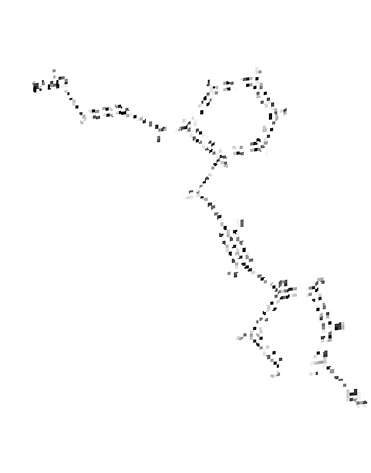 COC=CCc1ccccc1CC#Cc1ccc(Br)cc1